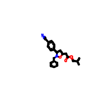 CC(C)COC(=O)CC1CC(c2ccc(C#N)cc2)N(Cc2ccccc2)O1